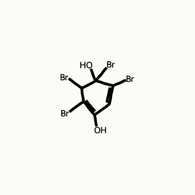 OC1=C(Br)C(Br)C(O)(Br)C(Br)=C1